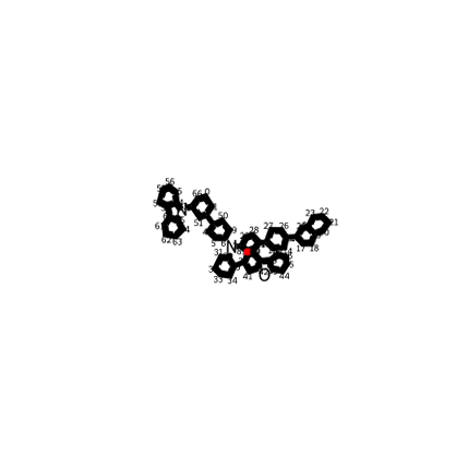 c1cc(-c2ccc(N(c3ccc(-c4ccc(-c5ccc6ccccc6c5)cc4)cc3)c3ccccc3-c3ccc4c(c3)oc3ccccc34)cc2)cc(-n2c3ccccc3c3ccccc32)c1